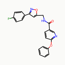 O=C(NCc1cc(-c2ccc(F)cc2)no1)c1ccc(Oc2ccccc2)nc1